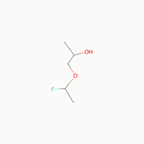 [CH2]C(F)OCC(C)O